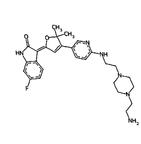 CC1(C)OC(=C2C(=O)Nc3cc(F)ccc32)C=C1c1ccc(NCCN2CCN(CCN)CC2)nc1